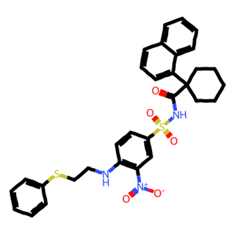 O=C(NS(=O)(=O)c1ccc(NCCSc2ccccc2)c([N+](=O)[O-])c1)C1(c2cccc3ccccc23)CCCCC1